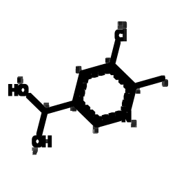 Cc1ncc(C(O)O)cc1Cl